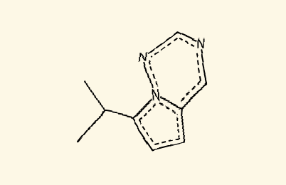 CC(C)c1ccc2cncnn12